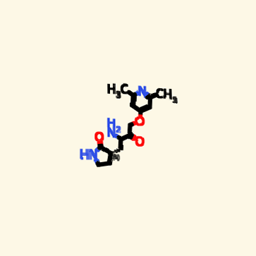 Cc1cc(OCC(=O)C(N)C[C@@H]2CCNC2=O)cc(C)n1